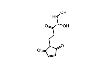 O=C(CCN1C(=O)C=CC1=O)N(O)NO